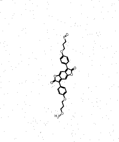 O=PCCCOc1ccc(C2=c3cc4c(cc3OC2=O)=C(c2ccc(OCCCOP)cc2)C(=O)O4)cc1